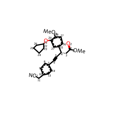 COC(=O)C[C@H](C#Cc1ccc(CC#N)cc1)c1ccc(OC)c(OC2CCCC2)c1